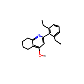 CCc1cccc(CC)c1-c1cc(OC)c2c(n1)CCCC2